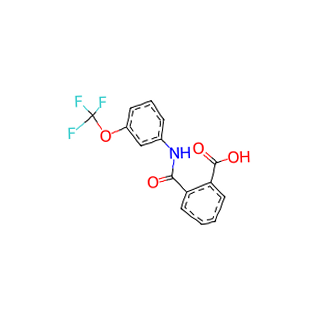 O=C(O)c1ccccc1C(=O)Nc1cccc(OC(F)(F)F)c1